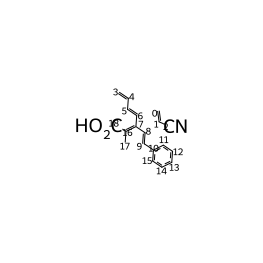 C=CC#N.C=CC=CC(C=Cc1ccccc1)=C(C)C(=O)O